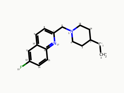 [CH2+][CH-]C1CCN(Cc2ccc3cc(F)ccc3n2)CC1